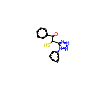 O=C(c1ccccc1)C(S)c1nnnn1-c1ccccc1